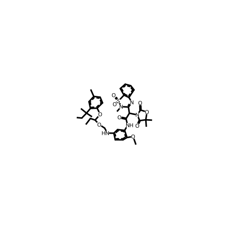 CCC(OCNc1ccc(OC)c(NC(=O)C(C2=Nc3ccccc3S(=O)(=O)N2C)N2C(=O)OC(C)(C)C2=O)c1)Oc1ccc(C)cc1C(C)(C)CC